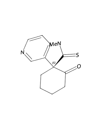 CNC(=S)[C@]1(c2cccnc2)CCCCC1=O